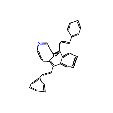 C(=C\c1c2ccccc2c(/C=C/c2ccccc2)c2cnccc12)/c1ccccc1